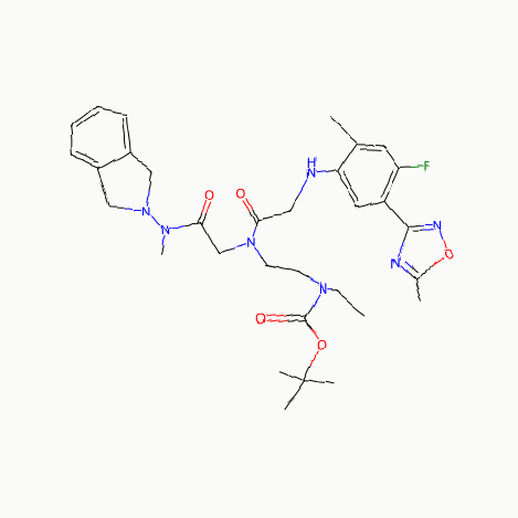 CCN(CCN(CC(=O)N(C)N1Cc2ccccc2C1)C(=O)CNc1cc(-c2noc(C)n2)c(F)cc1C)C(=O)OC(C)(C)C